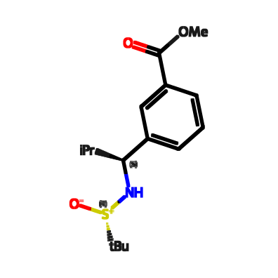 COC(=O)c1cccc([C@@H](N[S@@+]([O-])C(C)(C)C)C(C)C)c1